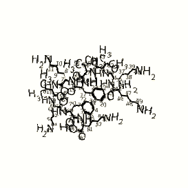 CC(C)[C@H](NC(=O)[C@H](CCCCN)NC(=O)[C@H](Cc1ccccc1)NC(=O)[C@@H](NC(=O)[C@@H](NC(=O)[C@H](CCCCN)NC(=O)[C@@H](N)CCCCN)C(C)C)C(C)C)C(=O)N[C@@H](CCCCN)C(=O)N[C@@H](Cc1ccccc1)C(=O)N[C@@H](CCCCN)C(=O)O